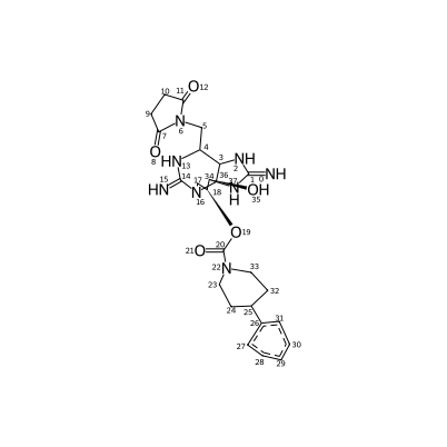 N=C1NC2C(CN3C(=O)CCC3=O)NC(=N)N3C[C@H](OC(=O)N4CCC(c5ccccc5)CC4)[C@@H](O)C23N1